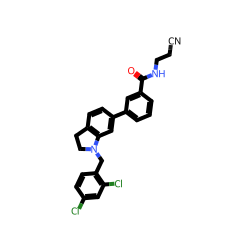 N#CCCNC(=O)c1cccc(-c2ccc3c(c2)N(Cc2ccc(Cl)cc2Cl)CC3)c1